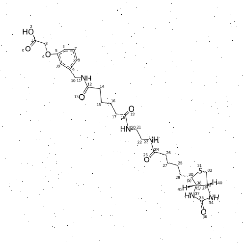 O=C(O)COc1cccc(CNC(=O)CCCCC(=O)NCCNC(=O)CCCC[C@@H]2SC[C@@H]3NC(=O)N[C@@H]32)c1